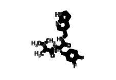 CC(C(=O)N[C@@H](Cc1ccc(F)c(F)c1)C(=O)NCc1cnc2[nH]ccc2c1)N(C)C